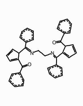 O=C(C1=CC=CC1/C(=N/CC/N=C(/C1=CC=CC1C(=O)c1ccccc1)c1ccccc1)c1ccccc1)c1ccccc1